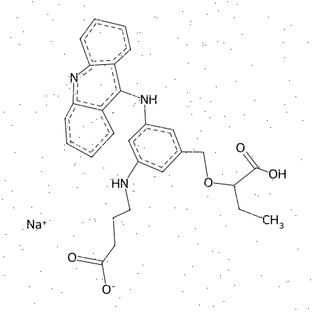 CCC(OCc1cc(NCCCC(=O)[O-])cc(Nc2c3ccccc3nc3ccccc23)c1)C(=O)O.[Na+]